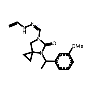 C=CN/N=C\N1CC2(CC2)N(C(C)c2cccc(OC)c2)C1=O